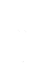 COc1c(Cl)cc(-c2cccn2NS(=O)(=O)c2ccccc2)cc1Cl